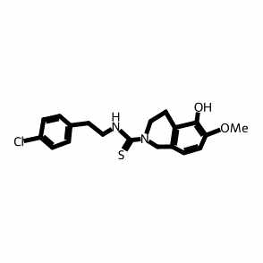 COc1ccc2c(c1O)CCN(C(=S)NCCc1ccc(Cl)cc1)C2